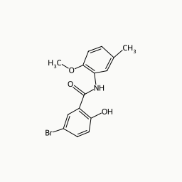 COc1ccc(C)cc1NC(=O)c1cc(Br)ccc1O